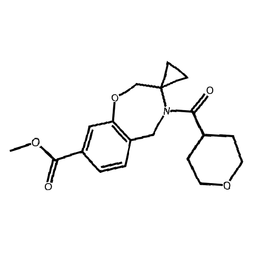 COC(=O)c1ccc2c(c1)OCC1(CC1)N(C(=O)C1CCOCC1)C2